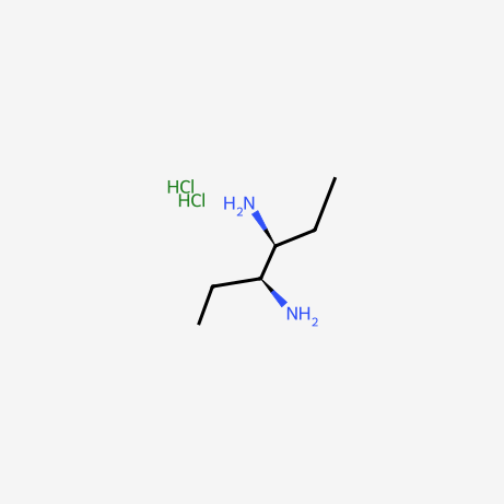 CC[C@H](N)[C@@H](N)CC.Cl.Cl